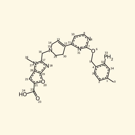 Cc1ccc(COc2nccc(C3=CCN(Cc4nc5oc(C(=O)O)cc5n4C)CC3)n2)c(P)c1